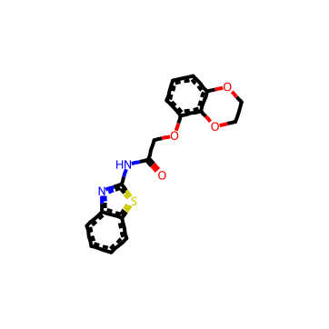 O=C(COc1cccc2c1OCCO2)Nc1nc2ccccc2s1